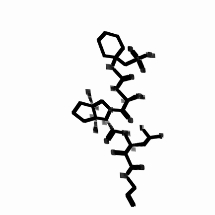 C=CCNC(=O)C(=O)[C@H](CC(F)F)NC(=O)[C@@H]1[C@H]2CCC[C@H]2CN1C(=O)[C@@H](NC(=O)NC1(CS(=O)(=O)C(C)(C)C)CCCCC1)C(C)(C)C